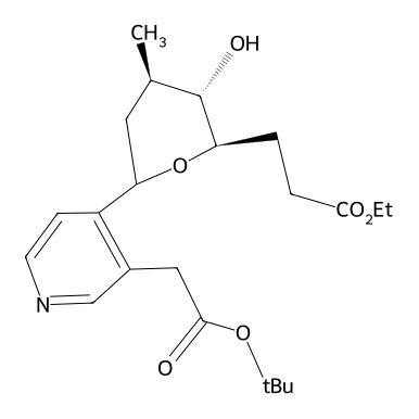 CCOC(=O)CC[C@H]1OC(c2ccncc2CC(=O)OC(C)(C)C)C[C@@H](C)[C@@H]1O